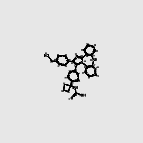 O=C(O)NC1(c2ccc(-c3c(-c4ccc(CO)cc4)nc4n3-c3cccnc3Nc3ccccc3-4)cc2)CCC1